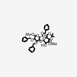 CO[C@H]1O[C@H](COCc2ccccc2)[C@@H](O[C@@H]2O[C@H]3COC(C)(C)O[C@H]3[C@H](OC)[C@H]2O)[C@H](OCc2ccccc2)[C@H]1OCc1ccccc1